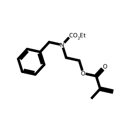 C=C(C)C(=O)OCCN(Cc1ccccc1)C(=O)OCC